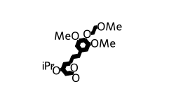 COCCOc1c(OC)cc(/C=C/c2cc(OC(C)C)cc(=O)o2)cc1OC